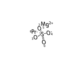 O=S(=O)([O-])[O-].[Mg+2].[Pr]